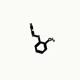 Cc1ccccc1SN=C=S